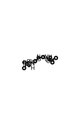 O=C(Nc1ccc(-c2cnc(-c3ccc(NC(=O)[C@@H]4CCCN4C(=O)C4CCCCN4CC4CCCCC4)cc3)o2)cc1)[C@@H]1CCCN1C(=O)C1CCCCN1CC1CCCCC1